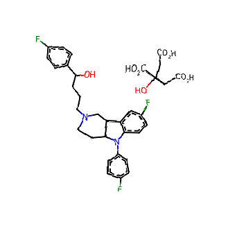 O=C(O)CC(O)(CC(=O)O)C(=O)O.OC(CCCN1CCC2C(C1)c1cc(F)ccc1N2c1ccc(F)cc1)c1ccc(F)cc1